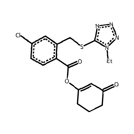 CCn1nnnc1SCc1cc(Cl)ccc1C(=O)OC1=CC(=O)CCC1